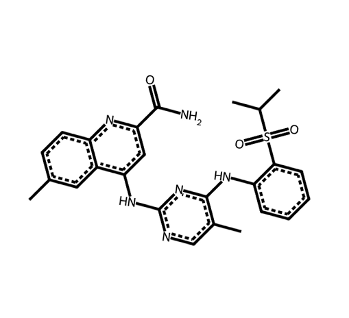 Cc1ccc2nc(C(N)=O)cc(Nc3ncc(C)c(Nc4ccccc4S(=O)(=O)C(C)C)n3)c2c1